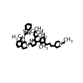 C=C(Nc1nc2ccccc2s1)c1cccc2c1CN(c1ccc(-c3cccc(CCCC4CCN(CC)CC4)c3C)c(C(=C)CC(C)(C)C)n1)CC2